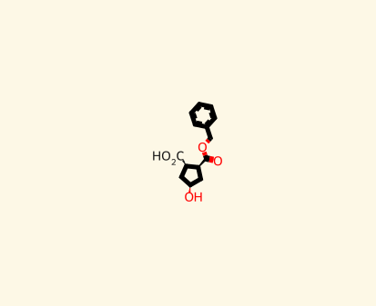 O=C(O)[C@H]1C[C@@H](O)C[C@@H]1C(=O)OCc1ccccc1